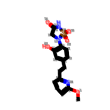 COc1cccc(CCc2ccc(N3CC(=O)NS3(=O)=O)c(O)c2)n1